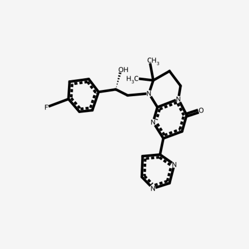 CC1(C)CCn2c(nc(-c3ccncn3)cc2=O)N1C[C@@H](O)c1ccc(F)cc1